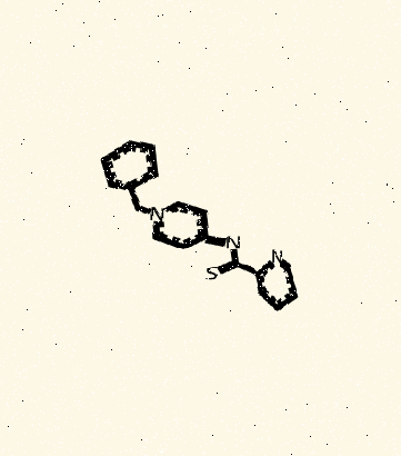 S=C(N=c1ccn(Cc2ccccc2)cc1)c1ccccn1